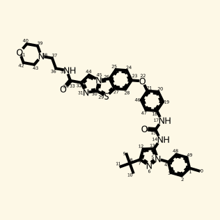 Cc1ccc(-n2nc(C(C)(C)C)cc2NC(=O)Nc2ccc(Oc3ccc4c(c3)sc3nc(C(=O)NCCN5CCOCC5)cn34)cc2)cc1